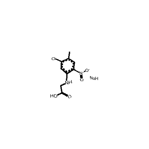 Cc1cc([N+](=O)[O-])c(NCC(=O)O)cc1Cl.[NaH]